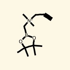 C#CC[N+](C)(C)CB1OC(C)(C)C(C)(C)O1